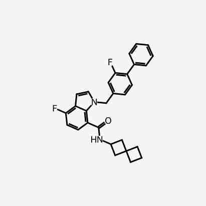 O=C(NC1CC2(CCC2)C1)c1ccc(F)c2ccn(Cc3ccc(-c4ccccc4)c(F)c3)c12